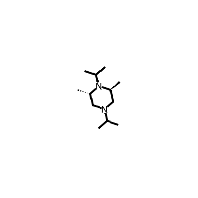 CC(C)N1C[C@H](C)N(C(C)C)[C@@H](C)C1